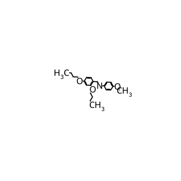 CCCCOc1ccc(/C=N/c2ccc(OC)cc2)c(OCCCC)c1